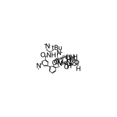 COc1c(CN2O[C@@H](CN(C)C)[C@@H]([C@H](C)O)[C@H]2C(=O)N[C@H]2C[C@H]3C[C@@H]([C@@H]2C)C3(C)C)cccc1-c1cc(C(=O)NC(CN(C)C)CC(C)(C)C)cc(N(C)C)c1